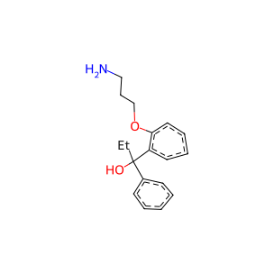 CCC(O)(c1ccccc1)c1ccccc1OCCCN